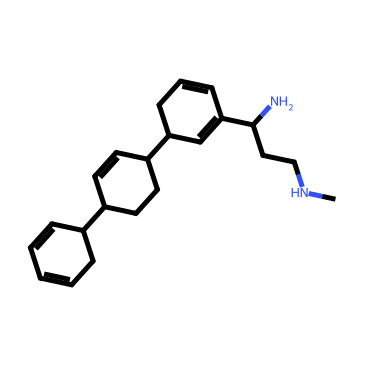 CNCCC(N)C1=CC(C2C=CC(C3C=CC=CC3)CC2)CC=C1